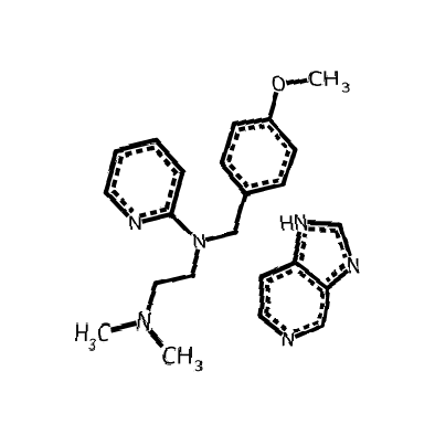 COc1ccc(CN(CCN(C)C)c2ccccn2)cc1.c1cc2[nH]cnc2cn1